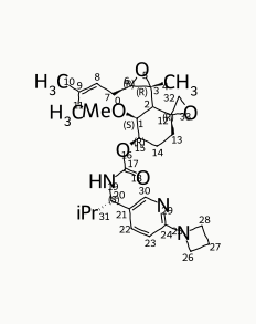 CO[C@H]1C([C@@]2(C)O[C@@H]2CC=C(C)C)[C@]2(CC[C@H]1OC(=O)N[C@H](c1ccc(N3CCC3)nc1)C(C)C)CO2